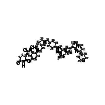 Cn1c(=O)n(C2CCC(=O)NC2=O)c2cccc(N3CCC4(CCN(CC5CCC(n6cc(-n7cc(-c8cnn9ccc(N%10CCOCC%10)nc89)nn7)c(C(F)F)n6)CC5)C4)CC3)c21